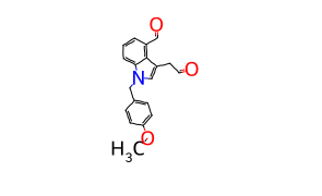 COc1ccc(Cn2cc(CC=O)c3c(C=O)cccc32)cc1